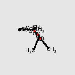 CCCCCCCCCCCCCC(=O)OCC(COC(=O)CCC(=O)CCC1OC(C)(CC)OC1COC(=O)CCC(=O)OCCSSCc1ccccc1)OC(=O)CCCCCCCCCCCCC